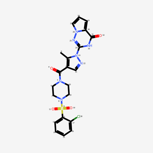 Cc1c(C(=O)N2CCN(S(=O)(=O)c3ccccc3Cl)CC2)cnn1-c1nn2cccc2c(=O)[nH]1